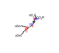 CCCCCCCCCCCCCCCC(=O)OCC(CSCCC(=O)NCc1ccc(C(=O)NC(CCC(=O)O)C(=O)O)cc1)OC(=O)CCCCCCCCCCCCCCC